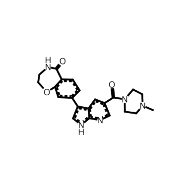 CN1CCN(C(=O)c2cnc3[nH]cc(-c4ccc5c(c4)OCCNC5=O)c3c2)CC1